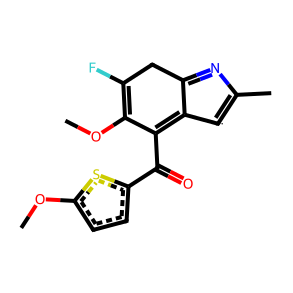 COC1=C(F)CC2=NC(C)=[C]C2=C1C(=O)c1ccc(OC)s1